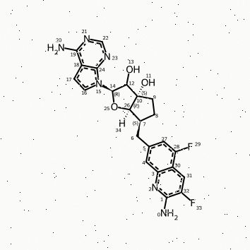 Nc1nc2cc(C[C@@H]3CC[C@]4(O)C(O)[C@H](n5ccc6c(N)ncnc65)O[C@H]34)cc(F)c2cc1F